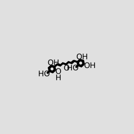 O=C(CC=Cc1c(O)cc(O)cc1O)CC=Cc1c(O)cc(O)cc1O